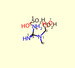 CN(CC(=O)O)C(=N)N.O.O=S(=O)(O)O